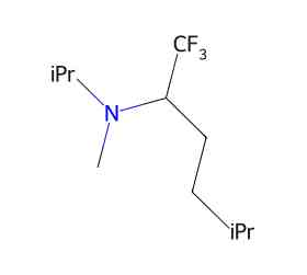 CC(C)CCC(N(C)C(C)C)C(F)(F)F